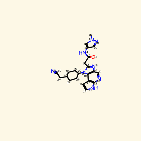 Cn1cc(NC(=O)Cc2nc3cnc4[nH]ccc4c3n2C2CCC(CC#N)CC2)cn1